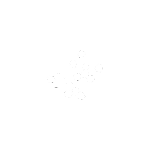 C1=Cc2cccc3c2C2C1=CC(N(c1ccc4c(c1)c1ccccc1c1c(-c5ccccc5)cc(-c5ccccc5)c(-c5ccccc5)c41)c1cc4ccccc4c4ccccc14)=CC2C=C3